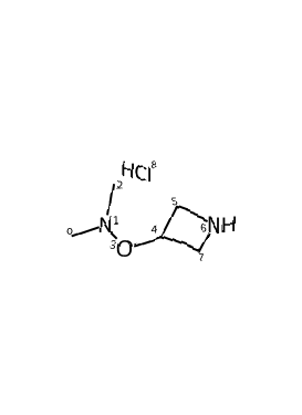 CN(C)OC1CNC1.Cl